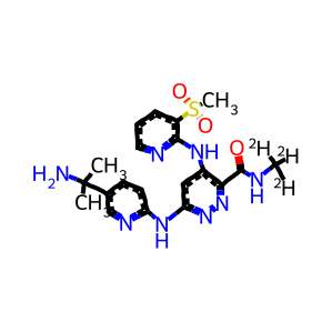 [2H]C([2H])([2H])NC(=O)c1nnc(Nc2ccc(C(C)(C)N)cn2)cc1Nc1ncccc1S(C)(=O)=O